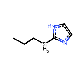 CCC[SiH2]c1ncc[nH]1